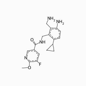 COc1ncc(C(=O)NCc2c(C3CC3)ccc(N)c2CN)cc1F